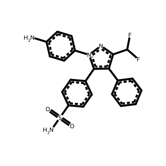 Nc1ccc(-n2nc(C(F)F)c(-c3ccccc3)c2-c2ccc(S(N)(=O)=O)cc2)cc1